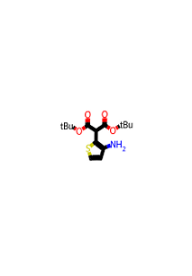 CC(C)(C)OC(=O)C(C(=O)OC(C)(C)C)c1sccc1N